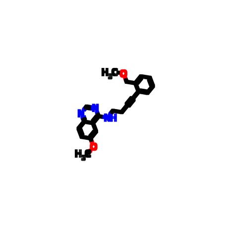 COCc1ccccc1C#CCCNc1ncnc2ccc(OC)cc12